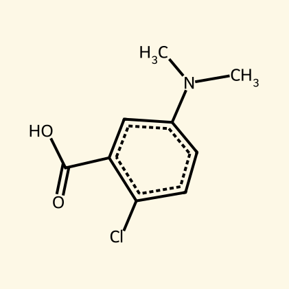 CN(C)c1ccc(Cl)c(C(=O)O)c1